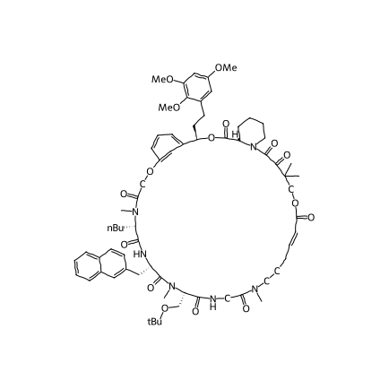 CCCC[C@H]1C(=O)N[C@@H](Cc2ccc3ccccc3c2)C(=O)N(C)[C@@H](COC(C)(C)C)C(=O)NCC(=O)N(C)CCC/C=C/C(=O)OCC(C)(C)C(=O)C(=O)N2CCCC[C@H]2C(=O)O[C@H](CCc2cc(OC)cc(OC)c2OC)c2cccc(c2)OCC(=O)N1C